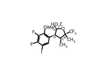 COc1c([C@H]2[C@@H](C(=O)O)O[C@@](C)(C(F)(F)F)[C@H]2C)cc(I)c(F)c1F